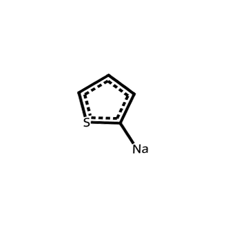 [Na][c]1cccs1